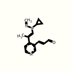 C=NN(/C=C(\C)c1ccncc1/C=C/C=O)C1CC1